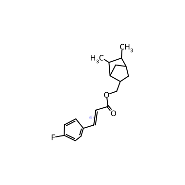 CC1C2CC(COC(=O)/C=C/c3ccc(F)cc3)C(C2)C1C